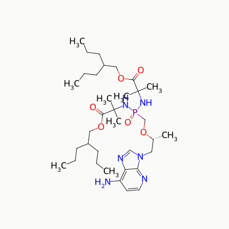 CCCC(CCC)COC(=O)C(C)(C)NP(=O)(CO[C@H](C)Cn1cnc2c(N)ccnc21)NC(C)(C)C(=O)OCC(CCC)CCC